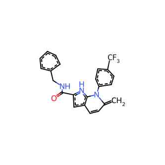 C=C1C=Cc2cc(C(=O)NCc3ccccc3)[nH]c2N1c1ccc(C(F)(F)F)cc1